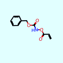 C=CC(=O)ONC(=O)OCc1ccccc1